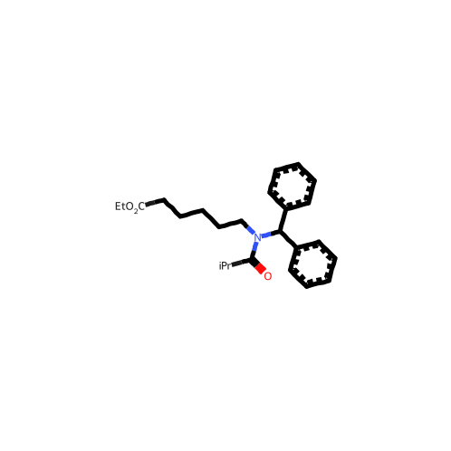 CCOC(=O)CCCCCN(C(=O)C(C)C)C(c1ccccc1)c1ccccc1